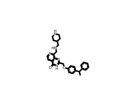 CC(c1ccccc1)c1ccc(OCc2nc3c(CNCC4CCNCC4)nccc3c(=O)[nH]2)cc1